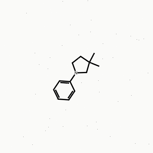 CC1(C)CCN(c2cc[c]cc2)C1